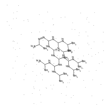 BC(B)/N=N\C(NC(F)NC(NC(NC(B)B)NC(B)B)NC(NC(B)B)NC(B)B)NC(NC(B)B)NC(B)B